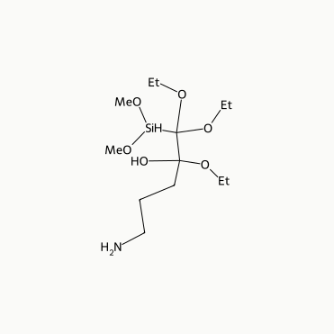 CCOC(O)(CCCN)C(OCC)(OCC)[SiH](OC)OC